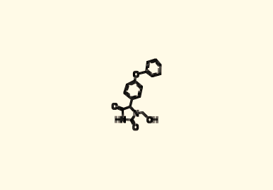 O=C1NC(=O)N(CO)C1c1ccc(Oc2ccccc2)cc1